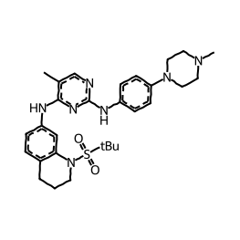 Cc1cnc(Nc2ccc(N3CCN(C)CC3)cc2)nc1Nc1ccc2c(c1)N(S(=O)(=O)C(C)(C)C)CCC2